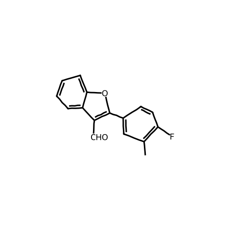 Cc1cc(-c2oc3ccccc3c2C=O)ccc1F